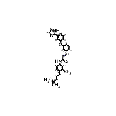 CN(C)CCCc1ccc(NC(=O)/C=C/c2cccc(Oc3ccnc(C4=NCCN4)c3)c2)cc1C(F)(F)F